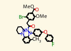 COC(=O)c1cc(Br)c(CC(=O)NN(c2ccc(Oc3ccc(F)cc3)cc2)c2c(C)cccc2N2CCCCC2)cc1OC